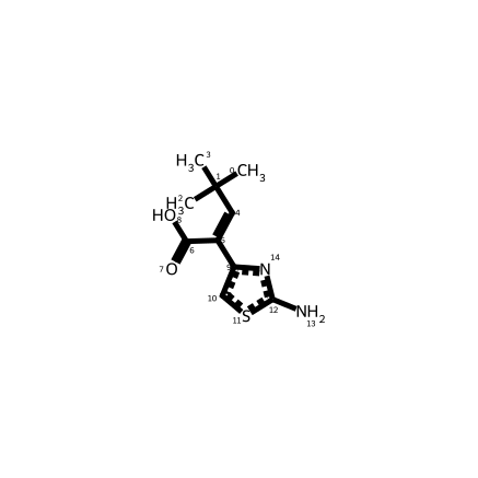 CC(C)(C)/C=C(\C(=O)O)c1csc(N)n1